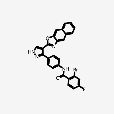 O=C(Nc1ccc(-c2n[nH]cc2-c2nc3cc4ccccc4cc3o2)cc1)c1ccc(F)cc1Br